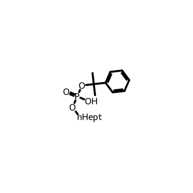 CCCCCCCOP(=O)(O)OC(C)(C)c1ccccc1